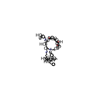 COc1ccc(S(=O)(=O)N(CC(C)C)C[C@@H](O)[C@H](Cc2ccccc2)NC(=O)C(C)NC(=O)CC/C=C/C[C@@H]2/C=C(\C)C[C@H](C)C[C@H](OC)[C@H]3O[C@@](O)(C(=O)C(=O)N4CCCC[C@H]4C(=O)O[C@H](/C(C)=C/[C@@H]4CC[C@@H](O)[C@H](OC)C4)[C@H](C)[C@@H](O)CC2=O)[C@H](C)C[C@@H]3OC)cc1